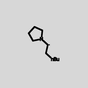 CCCCC[CH]N1CCCC1